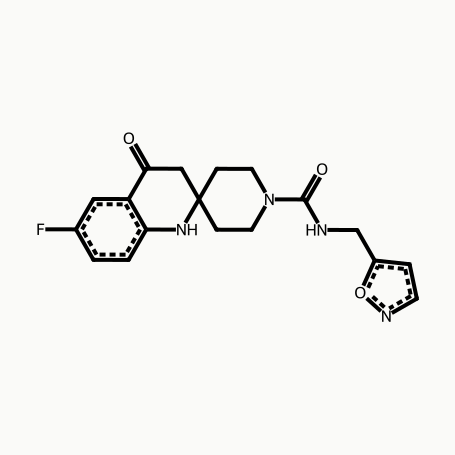 O=C1CC2(CCN(C(=O)NCc3ccno3)CC2)Nc2ccc(F)cc21